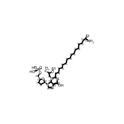 CCOC(C)CN1C(CCCCCCCCCCCCCCCC(N)CC)=NC(O)=C2N=CN([C@H]3CC[C@@H](COP(=O)(O)O)O3)C21